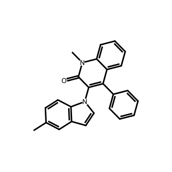 Cc1ccc2c(ccn2-c2c(-c3ccccc3)c3ccccc3n(C)c2=O)c1